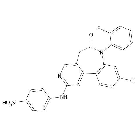 O=C1Cc2cnc(Nc3ccc(S(=O)(=O)O)cc3)nc2-c2ccc(Cl)cc2N1c1ccccc1F